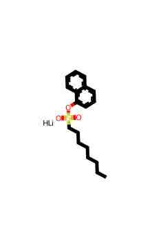 CCCCCCCCS(=O)(=O)Oc1cccc2ccccc12.[LiH]